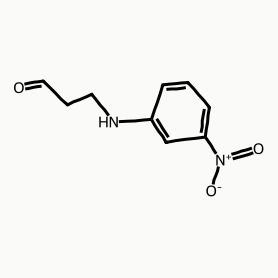 O=CCCNc1cccc([N+](=O)[O-])c1